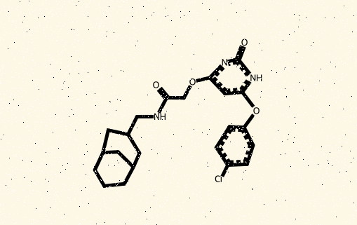 O=C(COc1cc(Oc2ccc(Cl)cc2)[nH]c(=O)n1)NCC1CC2CCCC(C2)C1